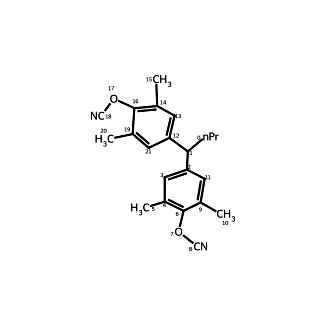 CCCC(c1cc(C)c(OC#N)c(C)c1)c1cc(C)c(OC#N)c(C)c1